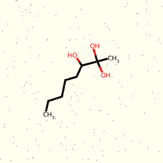 CCCCCC(O)C(C)(O)O